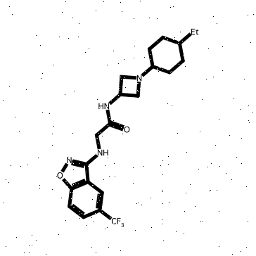 CCC1CCC(N2CC(NC(=O)CNc3noc4ccc(C(F)(F)F)cc34)C2)CC1